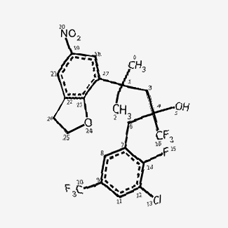 CC(C)(CC(O)(Cc1cc(C(F)(F)F)cc(Cl)c1F)C(F)(F)F)c1cc([N+](=O)[O-])cc2c1OCC2